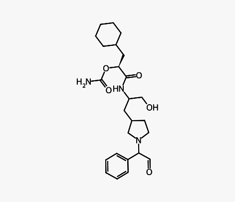 NC(=O)O[C@@H](CC1CCCCC1)C(=O)NC(CO)CC1CCN(C(C=O)c2ccccc2)C1